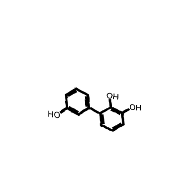 Oc1cccc(-c2cccc(O)c2O)c1